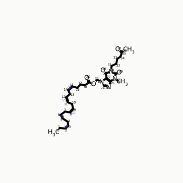 CC/C=C\C/C=C\C/C=C\C/C=C\C/C=C\CCCC(=O)OCn1cnc2c1c(=O)n(CCCCC(C)=O)c(=O)n2C